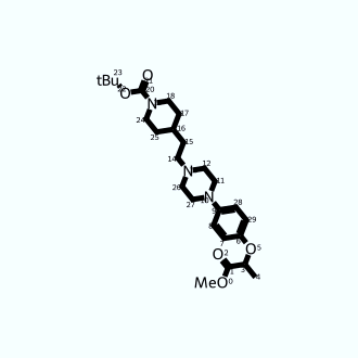 COC(=O)C(C)Oc1ccc(N2CCN(CCC3CCN(C(=O)OC(C)(C)C)CC3)CC2)cc1